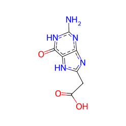 Nc1nc2nc(CC(=O)O)[nH]c2c(=O)[nH]1